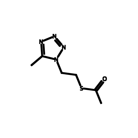 CC(=O)SCCn1nnnc1C